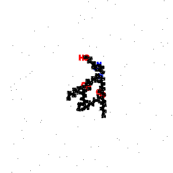 CCCCCCCCC(CCCCCC)OC(=O)CCCCCN(CCCCCC(=O)OC(CCCCCC)CCCCCCCC)Cc1cnn(CCCCO)c1